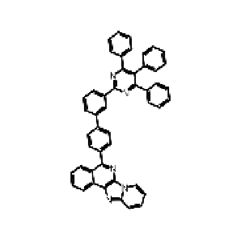 c1ccc(-c2nc(-c3cccc(-c4ccc(-c5nc6c(nc7ccccn76)c6ccccc56)cc4)c3)nc(-c3ccccc3)c2-c2ccccc2)cc1